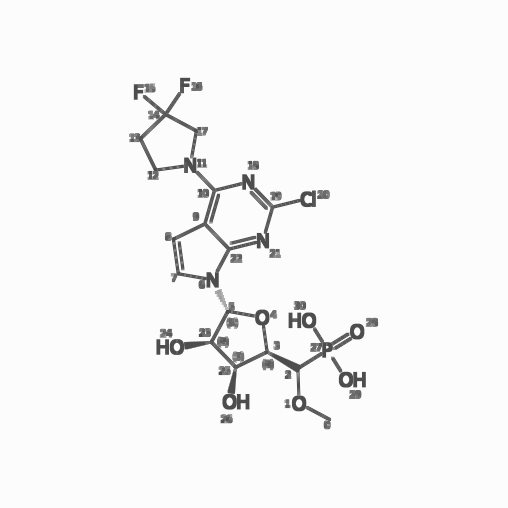 COC([C@@H]1O[C@@H](n2ccc3c(N4CCC(F)(F)C4)nc(Cl)nc32)[C@H](O)[C@@H]1O)P(=O)(O)O